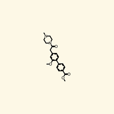 COC(=O)c1ccc(-c2ccc(CC(=O)N3CCN(C)CC3)cc2OC)cc1